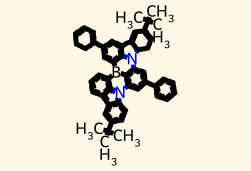 CC(C)(C)C1=CCC2C(=C1)c1cc(C3=CC=CCC3)cc3c1N2c1cc(-c2ccccc2)cc2c1B3c1cccc3c4cc(C(C)(C)C)ccc4n-2c13